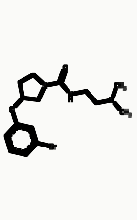 CN(C)CCNC(=O)N1CCC(Oc2cccc(Br)c2)C1